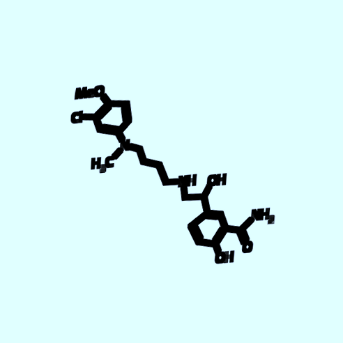 COc1ccc(N(C)CCCCNCC(O)c2ccc(O)c(C(N)=O)c2)cc1Cl